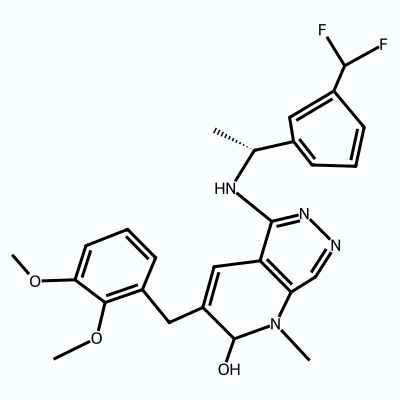 COc1cccc(CC2=Cc3c(cnnc3N[C@H](C)c3cccc(C(F)F)c3)N(C)C2O)c1OC